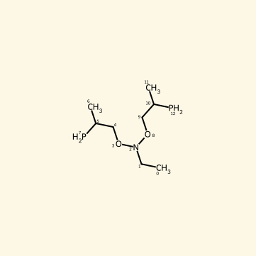 CCN(OCC(C)P)OCC(C)P